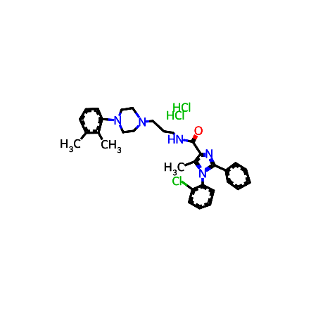 Cc1cccc(N2CCN(CCCNC(=O)c3nc(-c4ccccc4)n(-c4ccccc4Cl)c3C)CC2)c1C.Cl.Cl